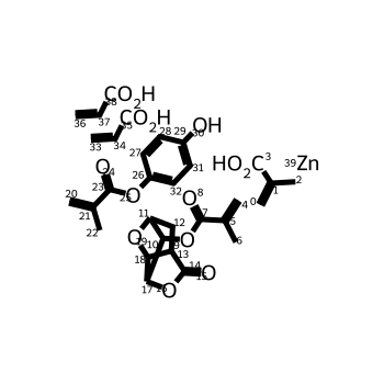 C=C(C)C(=O)O.C=C(C)C(=O)OC1C2CC3C(=O)OC1C3O2.C=C(C)C(=O)Oc1ccc(O)cc1.C=CC(=O)O.C=CC(=O)O.[Zn]